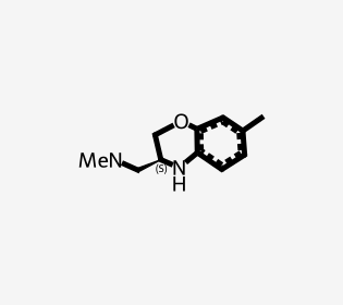 CNC[C@H]1COc2cc(C)ccc2N1